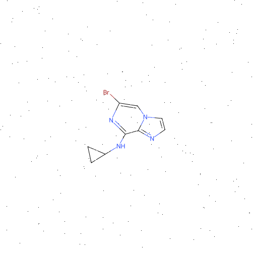 Brc1cn2ccnc2c(NC2CC2)n1